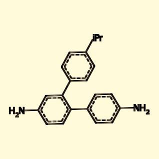 CC(C)c1ccc(-c2cc(N)ccc2-c2ccc(N)cc2)cc1